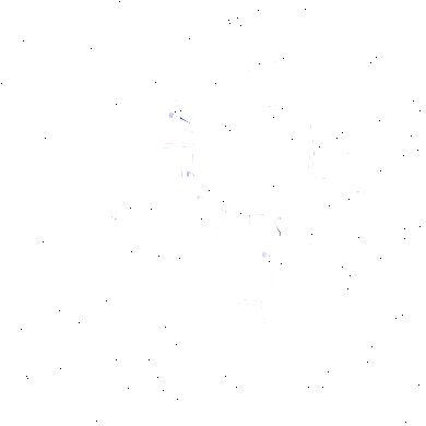 CNCCC[C@@H]1NC(=O)[C@@H](NC)Cc2cc(ccc2O)-c2ccc(O)c(c2)C[C@@H](C(=O)NCC(=O)OC)NC1=O